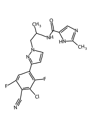 Cc1ncc(C(=O)NC(C)Cn2ccc(-c3cc(F)c(C#N)c(Cl)c3F)n2)[nH]1